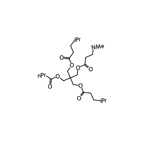 CCCC(=O)OCC(COC(=O)CCNC)(COC(=O)CCC(C)C)COC(=O)CCC(C)C